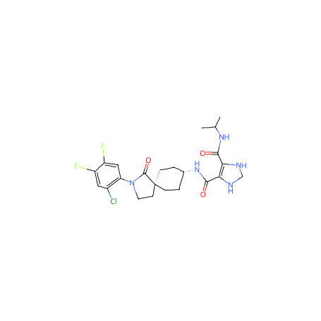 CC(C)NC(=O)C1=C(C(=O)N[C@H]2CC[C@@]3(CCN(c4cc(F)c(F)cc4Cl)C3=O)CC2)NCN1